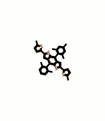 Cc1cc(C)c(-c2c3cc(-c4ccc(C)s4)sc3c(-c3c(C)cccc3C)c3cc(-c4ccc(C)s4)sc23)c(C)c1